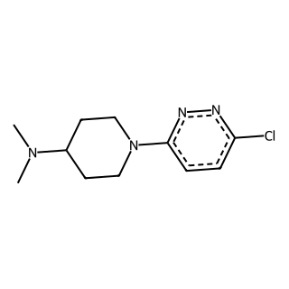 CN(C)C1CCN(c2ccc(Cl)nn2)CC1